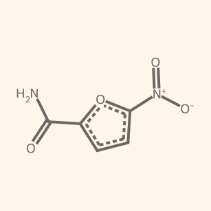 NC(=O)c1ccc([N+](=O)[O-])o1